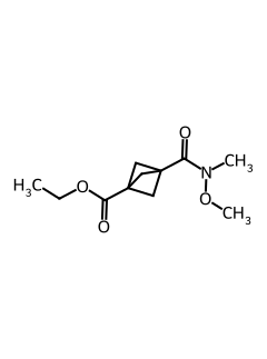 CCOC(=O)C12CC(C(=O)N(C)OC)(C1)C2